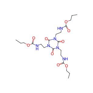 CCCOC(=O)NCCn1c(=O)n(CCNC(=O)OCCC)c(=O)n(CCNC(=O)OCCC)c1=O